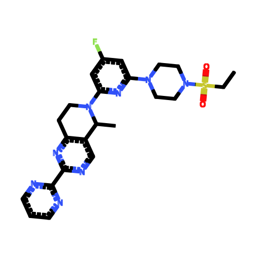 CCS(=O)(=O)N1CCN(c2cc(F)cc(N3CCc4nc(-c5ncccn5)ncc4C3C)n2)CC1